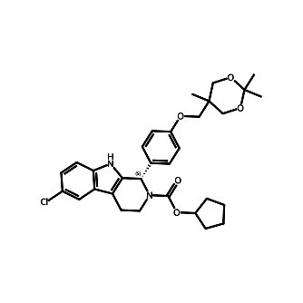 CC1(COc2ccc([C@H]3c4[nH]c5ccc(Cl)cc5c4CCN3C(=O)OC3CCCC3)cc2)COC(C)(C)OC1